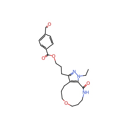 CCn1nc(CCCOC(=O)c2ccc(C=O)cc2)c2c1C(=O)NCCCOCCC2